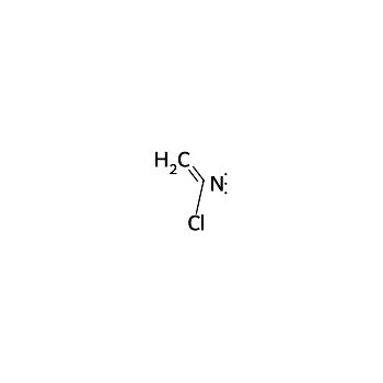 C=CCl.[N]